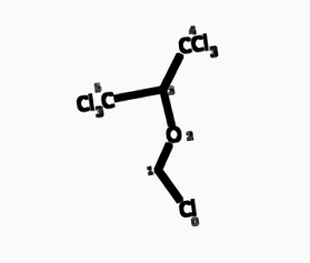 ClCOC(C(Cl)(Cl)Cl)C(Cl)(Cl)Cl